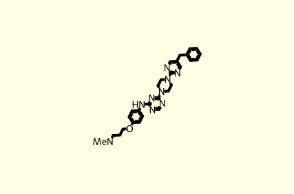 CNCCCOc1ccc(Nc2ncnc(N3CCN(c4ncc(Cc5ccccc5)cn4)CC3)n2)cc1